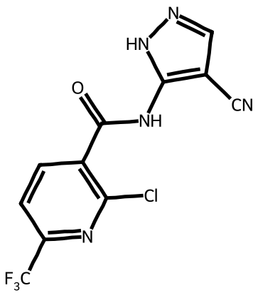 N#Cc1cn[nH]c1NC(=O)c1ccc(C(F)(F)F)nc1Cl